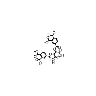 COC(=O)c1ccc(C(=O)O[C@@H](C(=O)O)[C@@H](OC(=O)c2ccc(C(=O)OC)c(C(=O)OC)c2)C(=O)O)cc1C(=O)OC